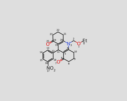 CCOCN1C2=C(C(=O)CCC2)C(c2cccc([N+](=O)[O-])c2)C2=C1CCCC2=O